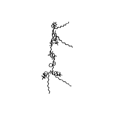 CCCCCCCCCCC(CN(CCCSSCCCCN1CC(C)N(CCOC(=O)CCCN(CC(CCCCCCCCCC)O[Si](C)(C)C(C)(C)C)CC(CCCCCCCCCC)O[Si](C)(C)C(C)(C)C)CC1C)CC(CCCCCCCCCC)O[Si](C)(C)C(C)(C)C)O[Si](C)(C)C(C)(C)C